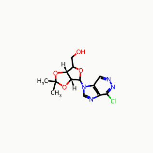 CC1(C)O[C@@H]2C(CO)OC(n3cnc4c(Cl)nncc43)[C@@H]2O1